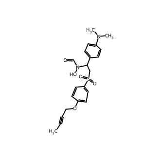 CC#CCOc1ccc(S(=O)(=O)CC(c2ccc(N(C)C)cc2)N(O)C=O)cc1